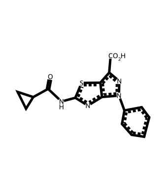 O=C(O)c1nn(-c2ccccc2)c2nc(NC(=O)C3CC3)sc12